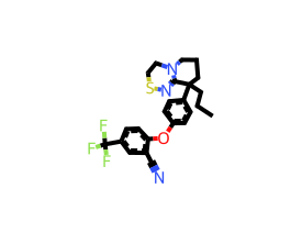 CCCC1(c2ccc(Oc3ccc(C(F)(F)F)cc3C#N)cc2)CCCN2CCSN=C21